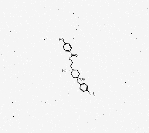 Cc1ccc(CC2(O)CCN(CCOC(=O)c3ccc(O)cc3)CC2)cc1.Cl